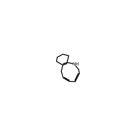 C1=C\CNC2=C(C\C=C/1)CCCC2